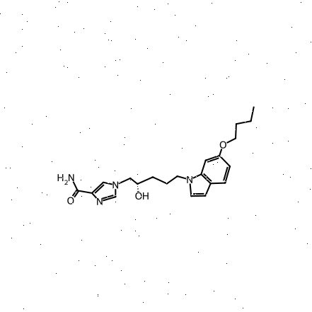 CCCCOc1ccc2ccn(CCC[C@H](O)Cn3cnc(C(N)=O)c3)c2c1